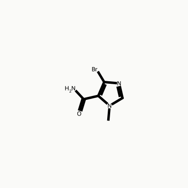 Cn1cnc(Br)c1C(N)=O